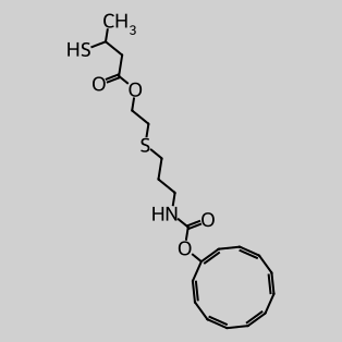 CC(S)CC(=O)OCCSCCCNC(=O)OC1=C/C=C\C=C/C=C\C=C/C=C\1